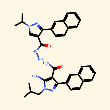 CC(C)Cn1nc(-c2ccc3ccccc3c2)c(C(N)=O)c1N.CC(C)n1cc(C(=O)NN)c(-c2ccc3ccccc3c2)n1